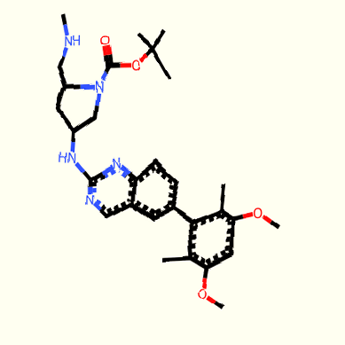 CNCC1CC(Nc2ncc3cc(-c4c(C)c(OC)cc(OC)c4C)ccc3n2)CN1C(=O)OC(C)(C)C